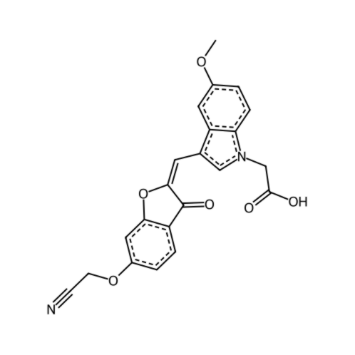 COc1ccc2c(c1)c(C=C1Oc3cc(OCC#N)ccc3C1=O)cn2CC(=O)O